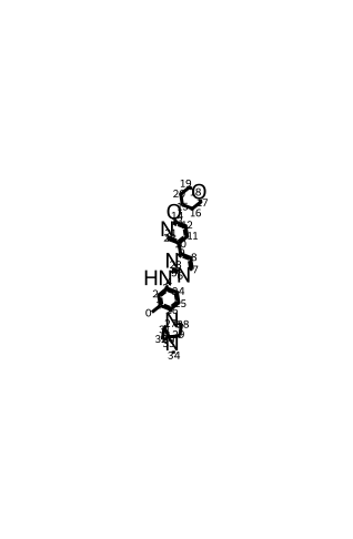 Cc1cc(Nc2nccc(-c3ccc(OC4CCOCC4)nc3)n2)ccc1N1CC2CC1CN2C